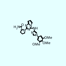 COc1cc(-n2cnc(Nc3nc(N4CCC[C@H]4C(N)=O)nc4cccn34)c2)cc(OC)c1OC